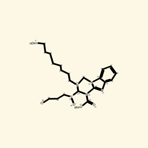 CCCCCCCCCCCCCCCCCCN1Cn2c(nc3ccccc32)N(C(=O)OC)C1[S+]([O-])CCCCl